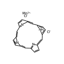 C1=Cc2cc3ccc(cc4nc(cc5ccc(cc1n2)[nH]5)C=C4)[nH]3.[Cl-].[Cl-].[Mn+2]